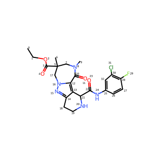 CCOC(=O)C1(C)CN(C)C(=O)c2c3c(nn2C1)CCNC3C(=O)Nc1ccc(F)c(Cl)c1